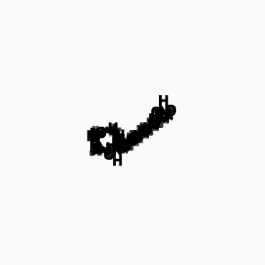 Cc1cc2cc(n1)-c1cnn(C)c1OCC[C@H]1C[C@@H]1CN1/C(=N/C2=O)Nc2ccc(N3CCN(C4CCN(c5ccc(C6CCC(=O)NC6=O)nc5)CC4)CC3)cc21